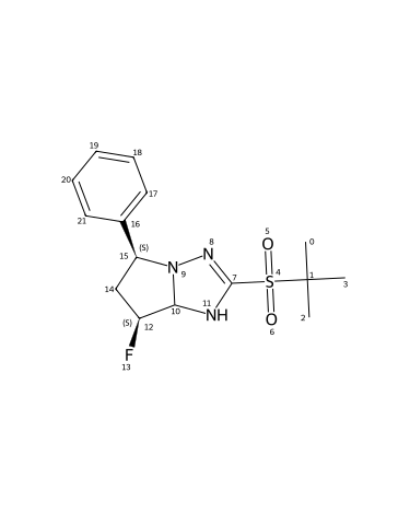 CC(C)(C)S(=O)(=O)C1=NN2C(N1)[C@@H](F)C[C@H]2c1ccccc1